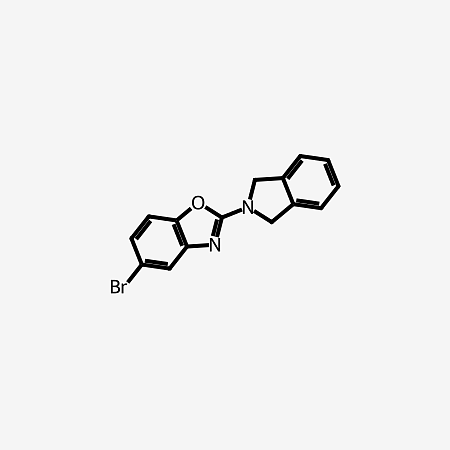 Brc1ccc2oc(N3Cc4ccccc4C3)nc2c1